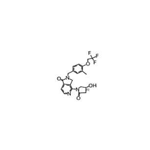 Cc1cc(CN2Cc3c(ccnc3N3C[C@@H](O)CC3=O)C2=O)ccc1OCC(F)(F)F